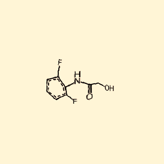 O=C(CO)Nc1c(F)cccc1F